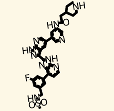 CS(=O)(=O)NCc1cc(F)cc(-c2ccnc3[nH]c(-c4n[nH]c5ncc(-c6cncc(NC(=O)CC7CCNCC7)c6)cc45)nc23)c1